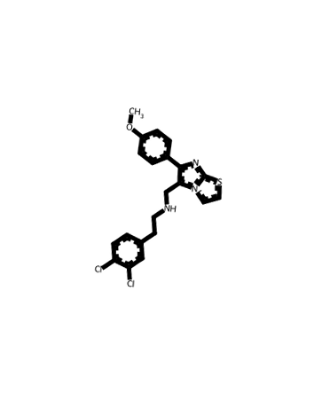 COc1ccc(-c2nc3sccn3c2CNCCc2ccc(Cl)c(Cl)c2)cc1